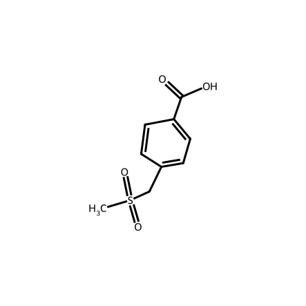 CS(=O)(=O)Cc1ccc(C(=O)O)cc1